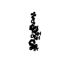 CC(C)S(=O)(=O)N1CCCC(NC(=O)Nc2cnc3c(ccn3COCC[Si](C)(C)C)n2)C1